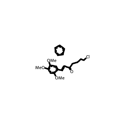 COc1cc(OC)c(OC)cc1C=CC(=O)CCCCCl.c1ccccc1